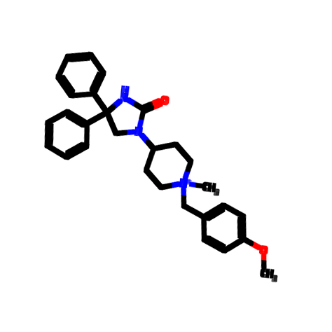 COc1ccc(C[N+]2(C)CCC(N3CC(c4ccccc4)(c4ccccc4)NC3=O)CC2)cc1